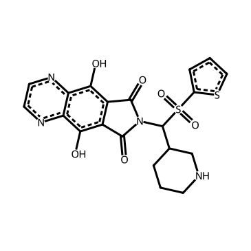 O=C1c2c(c(O)c3nccnc3c2O)C(=O)N1C(C1CCCNC1)S(=O)(=O)c1cccs1